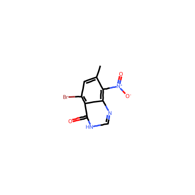 Cc1cc(Br)c2c(=O)[nH]cnc2c1[N+](=O)[O-]